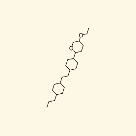 CCCC1CCC(CCC2CCC(C3CCC(OCC)CO3)CC2)CC1